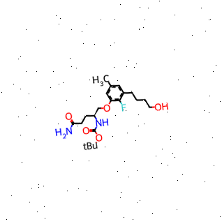 Cc1cc(CCCCO)c(F)c(OC[C@H](CCC(N)=O)NC(=O)OC(C)(C)C)c1